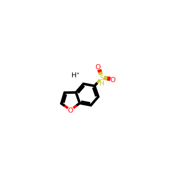 O=[SH](=O)c1ccc2occc2c1.[H+]